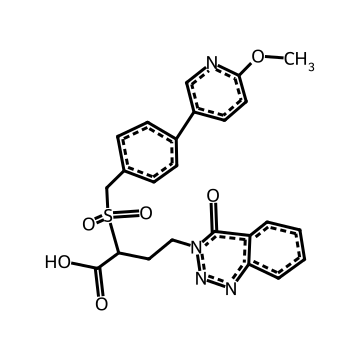 COc1ccc(-c2ccc(CS(=O)(=O)C(CCn3nnc4ccccc4c3=O)C(=O)O)cc2)cn1